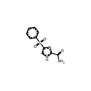 NC(=O)c1nc(S(=O)(=O)c2ccccc2)c[nH]1